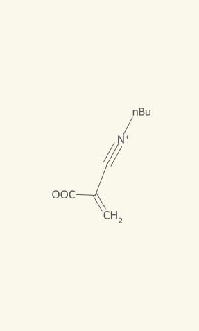 C=C(C#[N+]CCCC)C(=O)[O-]